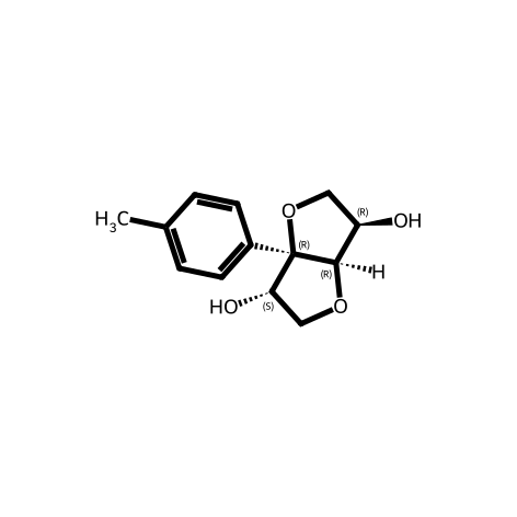 Cc1ccc([C@]23OC[C@@H](O)[C@H]2OC[C@@H]3O)cc1